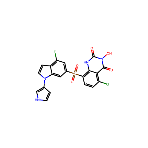 O=c1[nH]c2c(S(=O)(=O)c3cc(F)c4ccn(-c5cc[nH]c5)c4c3)ccc(Cl)c2c(=O)n1O